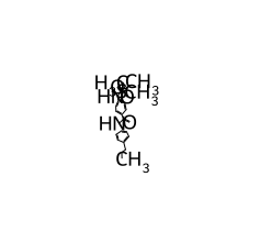 CCCc1ccc(NC(=O)c2ccc(NS(=O)(=O)C(C)(C)C)cc2)cc1